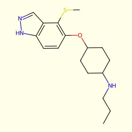 CCCNC1CCC(Oc2ccc3[nH]ncc3c2SC)CC1